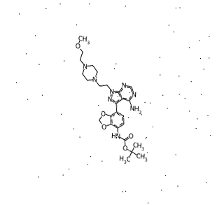 COCCN1CCN(CCn2nc(-c3ccc(NC(=O)OC(C)(C)C)c4c3OCO4)c3c(N)ncnc32)CC1